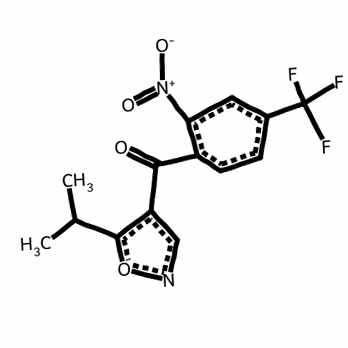 CC(C)c1oncc1C(=O)c1ccc(C(F)(F)F)cc1[N+](=O)[O-]